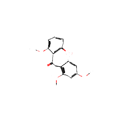 COc1ccc(C(=O)c2c(O)cccc2OC)c(OC)c1